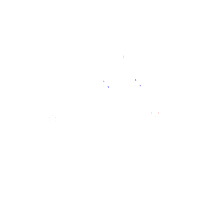 Cc1ccccc1Oc1cccc(Oc2cccc(-c3c(C)ccc4c3oc3ccccc34)n2)n1